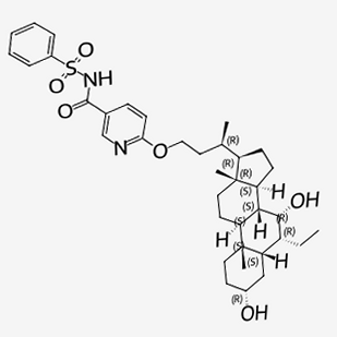 CC[C@H]1[C@@H](O)[C@@H]2[C@H](CC[C@]3(C)[C@@H]([C@H](C)CCOc4ccc(C(=O)NS(=O)(=O)c5ccccc5)cn4)CC[C@@H]23)[C@@]2(C)CC[C@@H](O)C[C@@H]12